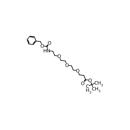 CC(C)(C)OC(=O)CCOCCOCCOCCNC(=O)OCc1ccccc1